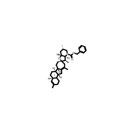 CC1=C[C@H]2CC[C@H]3[C@@H]4CC[C@@]5(CC(C)=C4C[C@@H]3[C@@]2(C)CC1)O[C@@H]1C[C@H](C)CN(C(=O)OCc2ccccc2)[C@H]1[C@H]5C